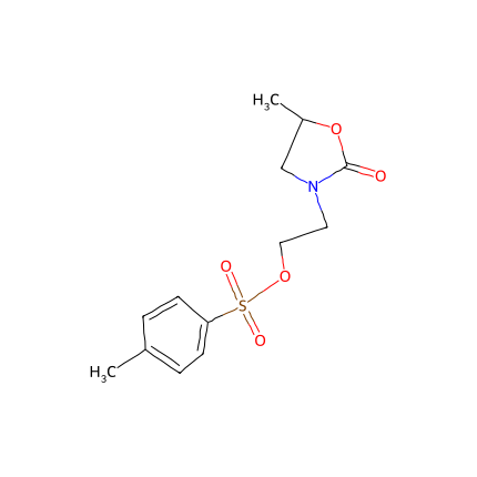 Cc1ccc(S(=O)(=O)OCCN2CC(C)OC2=O)cc1